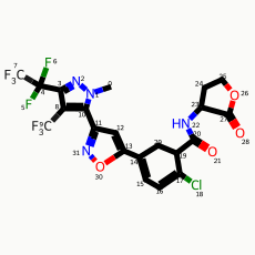 Cn1nc(C(F)(F)C(F)(F)F)c(C(F)(F)F)c1-c1cc(C2=CC=C(Cl)C(C(=O)NC3CCOC3=O)C2)on1